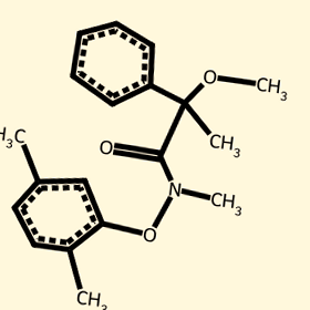 COC(C)(C(=O)N(C)Oc1cc(C)ccc1C)c1ccccc1